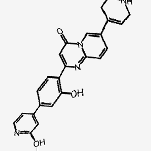 O=c1cc(-c2ccc(-c3ccnc(O)c3)cc2O)nc2ccc(C3=CCNCC3)cn12